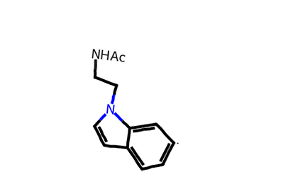 CC(=O)NCCn1ccc2cc[c]cc21